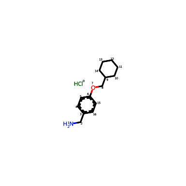 Cl.NCc1ccc(OCC2CCCCC2)cc1